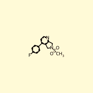 CS(=O)(=O)N1Cc2nccc(-c3ccc(F)cc3)c2C1